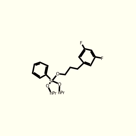 CCCO[Si](OCCC)(OCCCc1cc(F)cc(F)c1)c1ccccc1